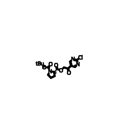 CC(C)(C)OC(=O)N1CCC[C@H]1C(=O)OCC(=O)c1cnc(Cl)nc1